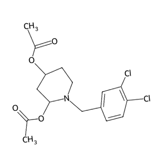 CC(=O)OC1CCN(Cc2ccc(Cl)c(Cl)c2)C(OC(C)=O)C1